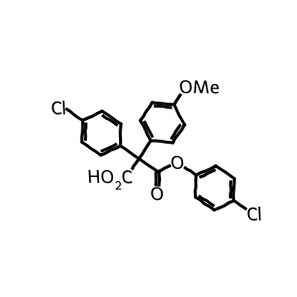 COc1ccc(C(C(=O)O)(C(=O)Oc2ccc(Cl)cc2)c2ccc(Cl)cc2)cc1